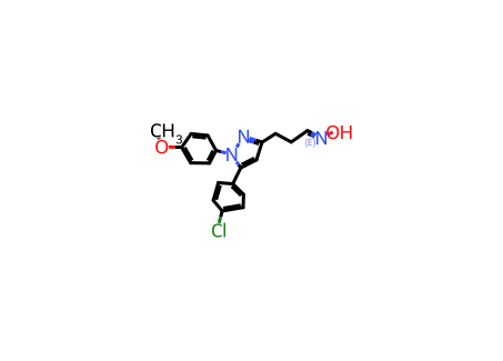 COc1ccc(-n2nc(CC/C=N/O)cc2-c2ccc(Cl)cc2)cc1